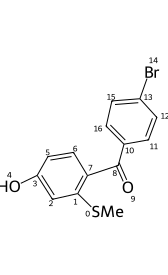 CSc1cc(O)ccc1C(=O)c1ccc(Br)cc1